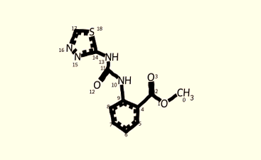 COC(=O)c1ccccc1NC(=O)Nc1nncs1